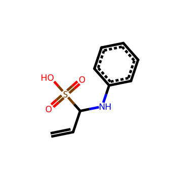 C=CC(Nc1ccccc1)S(=O)(=O)O